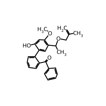 C=C(C)COC(C)c1cc(-c2ccccc2C(=O)c2ccccc2)c(O)cc1OC